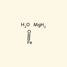 O.[MgH2].[O]=[Fe]